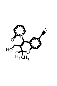 CC1(C)Oc2ccc(C#N)cc2C(n2ccccc2=O)=C1CO